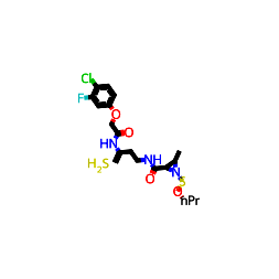 C=C(CCNC(=O)C1C(C)N1SOCCC)NC(=O)COc1ccc(Cl)c(F)c1.S